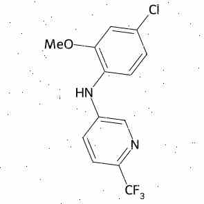 COc1cc(Cl)ccc1Nc1ccc(C(F)(F)F)nc1